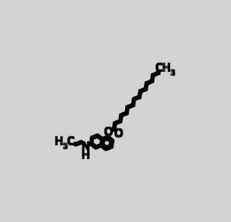 CCCCCCCCCCCCCCCC(=O)Oc1cccc2c1CCC(NCCC)C2